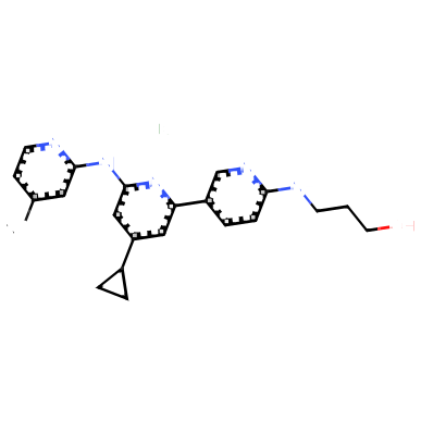 Cl.N#Cc1ccnc(Nc2cc(C3CC3)cc(-c3ccc(NCCCO)nc3)n2)c1